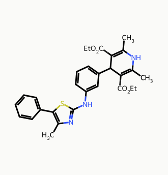 CCOC(=O)C1=C(C)NC(C)=C(C(=O)OCC)C1c1cccc(Nc2nc(C)c(-c3ccccc3)s2)c1